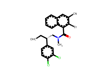 CCc1c(C#N)cc2ccccc2c1C(=O)N(C)C[C@@H](CC=O)c1ccc(Cl)c(Cl)c1